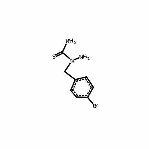 NC(=S)N(N)Cc1ccc(Br)cc1